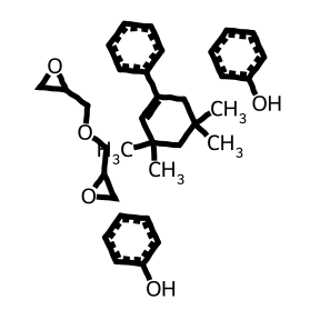 C(OCC1CO1)C1CO1.CC1(C)C=C(c2ccccc2)CC(C)(C)C1.Oc1ccccc1.Oc1ccccc1